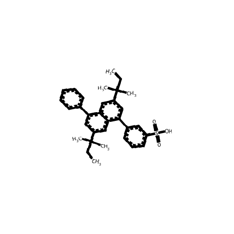 CCC(C)(C)c1cc(-c2cccc(S(=O)(=O)O)c2)c2cc(C(C)(C)CC)cc(-c3ccccc3)c2c1